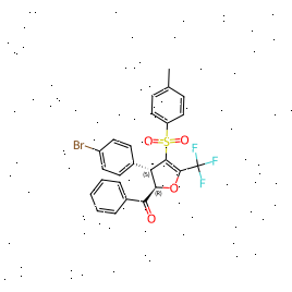 Cc1ccc(S(=O)(=O)C2=C(C(F)(F)F)O[C@@H](C(=O)c3ccccc3)[C@@H]2c2ccc(Br)cc2)cc1